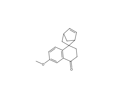 COc1ccc2c(c1)C(=O)CCC21CC2C=CC1C2